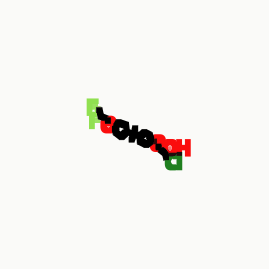 CC(C)(c1ccc(OC[C@H](O)CCl)cc1)c1ccc(OC[C@@H](F)CF)cc1